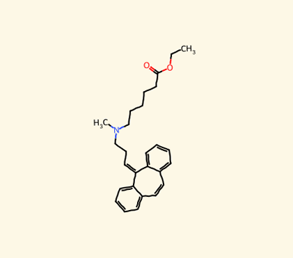 CCOC(=O)CCCCCN(C)CCC=C1c2ccccc2C=Cc2ccccc21